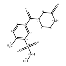 Cc1ccc(C(=O)N2CCNC(=O)C2)cc1S(=O)(=O)NO